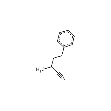 CC(C#N)CCc1ccccc1